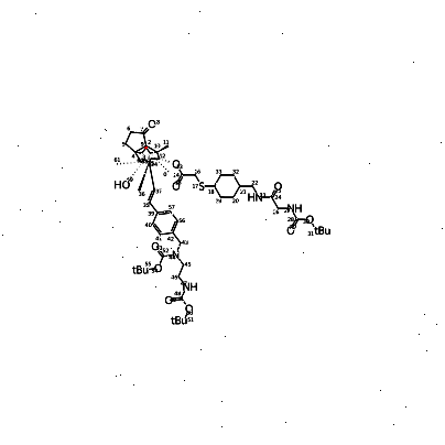 C[C@@H]1CC[C@@]23CCC(=O)C2[C@]1(C)[C@H](OC(=O)CSC1CCC(CNC(=O)CNC(=O)OC(C)(C)C)CC1)C[C@](C)(/C=C/c1ccc(CN(CCNC(=O)OC(C)(C)C)C(=O)OC(C)(C)C)cc1)[C@@H](O)[C@@H]3C